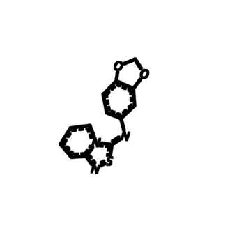 c1ccn2/c(=N\c3ccc4c(c3)OCO4)snc2c1